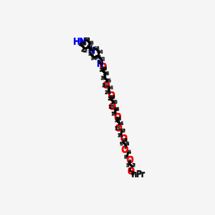 CCCOCCOCCOCCOCCOCCOCCOCCOCCOCCCCO/N=C/C1CCN(C2CCNCC2)CC1